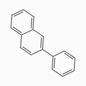 [c]1cc(-c2ccccc2)cc2ccccc12